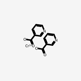 O=C([O-])c1cccnc1.O=C([O-])c1cccnc1.[Cr+2]